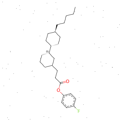 CCCCC[C@H]1CC[C@H]([C@H]2CCCC(CCC(=O)Oc3ccc(F)cc3)C2)CC1